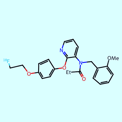 CCC(=O)N(Cc1ccccc1OC)c1cccnc1Oc1ccc(OCC[18F])cc1